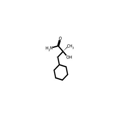 C[C@](O)([CH]C1CCCCC1)C(N)=O